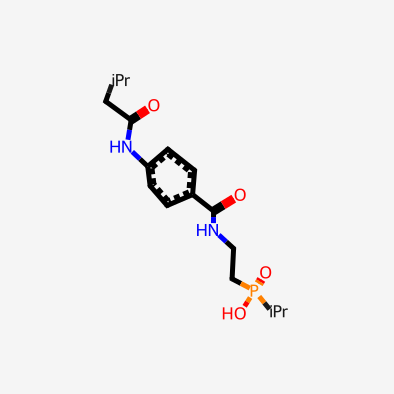 CC(C)CC(=O)Nc1ccc(C(=O)NCCP(=O)(O)C(C)C)cc1